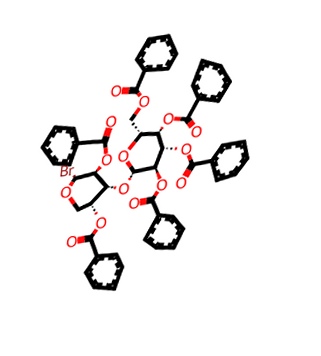 O=C(OC[C@H]1O[C@@H](O[C@H]2[C@H](OC(=O)c3ccccc3)[C@@H](Br)OC[C@H]2OC(=O)c2ccccc2)[C@H](OC(=O)c2ccccc2)[C@@H](OC(=O)c2ccccc2)[C@H]1OC(=O)c1ccccc1)c1ccccc1